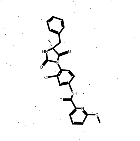 COc1cccc(C(=O)Nc2ccc(N3C(=O)N[C@@](C)(Cc4ccccc4)C3=O)c(Cl)c2)n1